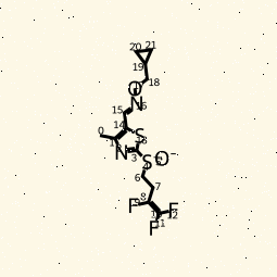 Cc1nc([S+]([O-])CCC(F)=C(F)F)sc1C=NOCC1CC1